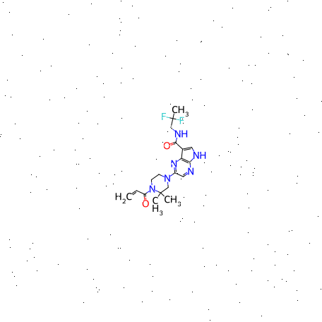 C=CC(=O)N1CCN(c2cnc3[nH]cc(C(=O)NCC(C)(F)F)c3n2)CC1(C)C